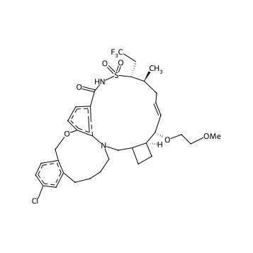 COCCO[C@H]1/C=C/C[C@H](C)[C@@H](CC(F)(F)F)S(=O)(=O)NC(=O)c2ccc3c(c2)N(CCCCc2cc(Cl)ccc2CO3)CC2CC[C@@H]21